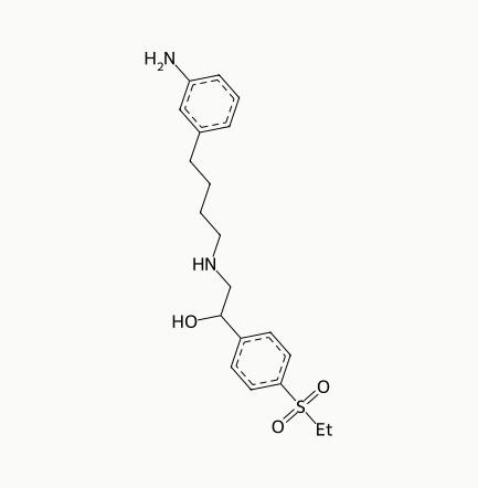 CCS(=O)(=O)c1ccc(C(O)CNCCCCc2cccc(N)c2)cc1